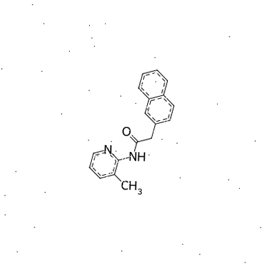 Cc1cccnc1NC(=O)Cc1ccc2ccccc2c1